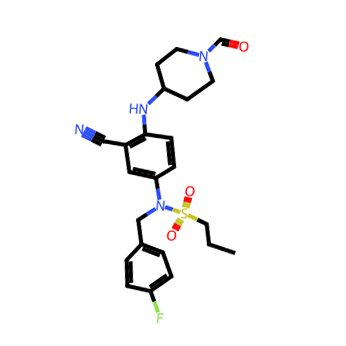 CCCS(=O)(=O)N(Cc1ccc(F)cc1)c1ccc(NC2CCN(C=O)CC2)c(C#N)c1